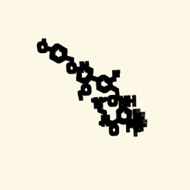 CCOc1cc(OCc2ccc(OC)cc2)ncc1-c1ccc(CC(=O)Nc2cc(C(=O)N(C)CCN(C)C)cc(S(F)(F)(F)(F)F)c2)c(F)c1